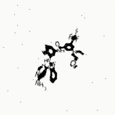 CCN(CCOC)c1cc(C(=O)Nc2ccc(C)c(Nc3nc4ccccc4n3-c3cc(N)ncn3)c2)cc(C(F)(F)F)c1